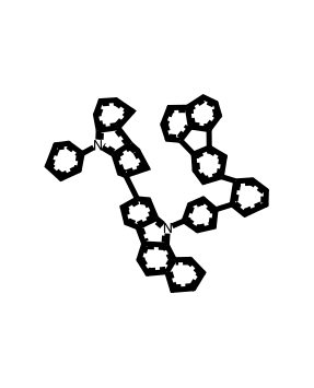 c1ccc(-n2c3ccccc3c3ccc(-c4ccc5c6ccc7ccccc7c6n(-c6ccc(-c7ccccc7-c7ccc8c(c7)-c7cccc9cccc-8c79)cc6)c5c4)cc32)cc1